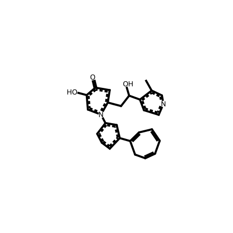 Cc1cnccc1C(O)Cc1cc(=O)c(O)cn1-c1cccc(C2=CC=CC=CC2)c1